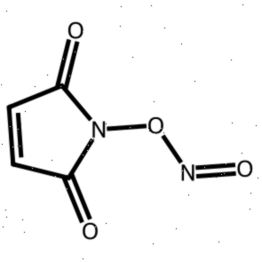 O=NON1C(=O)C=CC1=O